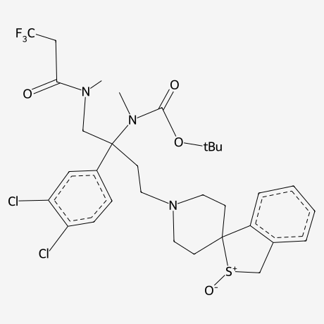 CN(CC(CCN1CCC2(CC1)c1ccccc1C[S+]2[O-])(c1ccc(Cl)c(Cl)c1)N(C)C(=O)OC(C)(C)C)C(=O)CC(F)(F)F